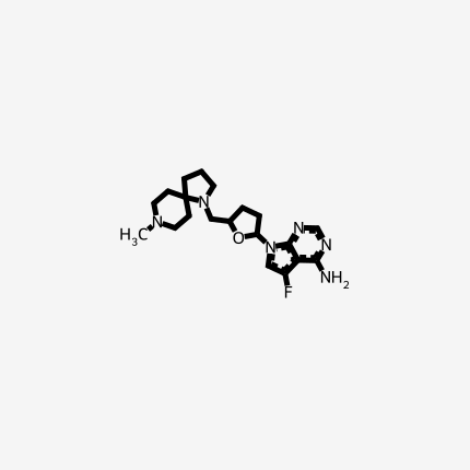 CN1CCC2(CCCN2CC2CCC(n3cc(F)c4c(N)ncnc43)O2)CC1